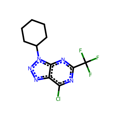 FC(F)(F)c1nc(Cl)c2nnn(C3CCCCC3)c2n1